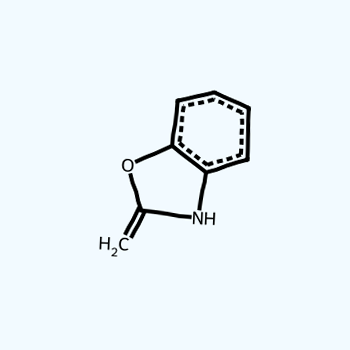 C=C1Nc2ccccc2O1